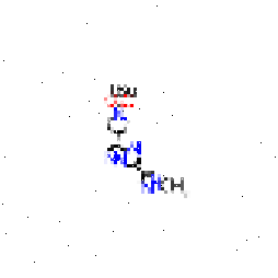 Cn1cc(-c2cnc3c(C4=CCN(C(=O)OC(C)(C)C)CC4)cnn3c2)cn1